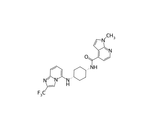 Cn1ccc2c(C(=O)N[C@H]3CC[C@@H](Nc4cccc5nc(C(F)(F)F)cn45)CC3)ccnc21